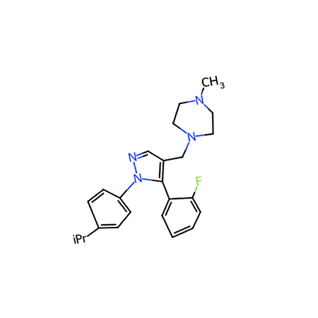 CC(C)c1ccc(-n2ncc(CN3CCN(C)CC3)c2-c2ccccc2F)cc1